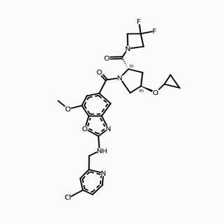 COc1cc(C(=O)N2C[C@H](OC3CC3)C[C@H]2C(=O)N2CC(F)(F)C2)cc2nc(NCc3cc(Cl)ccn3)oc12